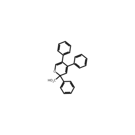 O=C(O)C1(c2ccccc2)C=C(c2ccccc2)C(c2ccccc2)=CO1